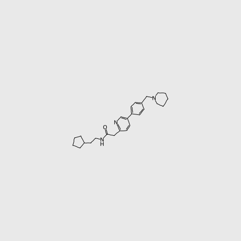 O=C(Cc1ccc(-c2ccc(CN3CCCCC3)cc2)cn1)NCCC1CCCC1